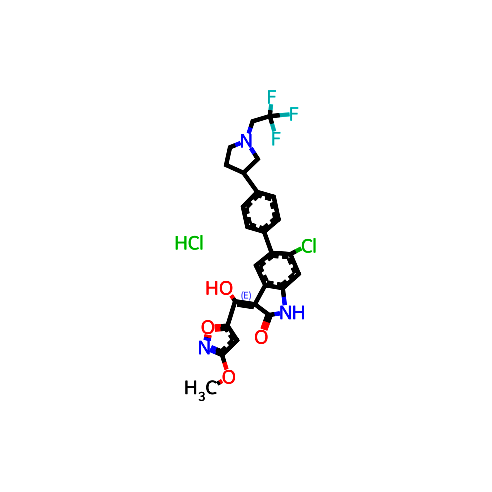 COc1cc(/C(O)=C2\C(=O)Nc3cc(Cl)c(-c4ccc(C5CCN(CC(F)(F)F)C5)cc4)cc32)on1.Cl